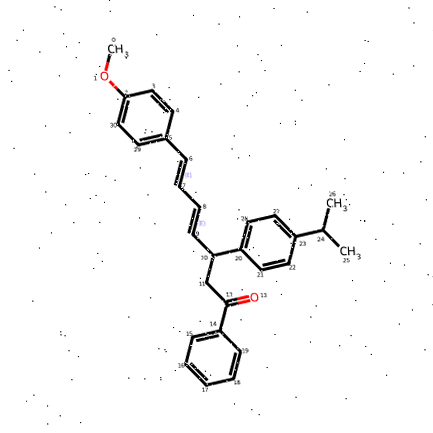 COc1ccc(/C=C/C=C/C(CC(=O)c2ccccc2)c2ccc(C(C)C)cc2)cc1